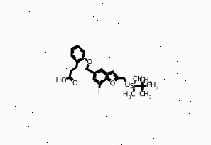 CC(C)(C)[Si](C)(C)OCc1cc2cc(COc3ccccc3CCC(=O)O)cc(I)c2o1